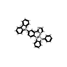 c1ccc(N2B3N(c4ccc(-n5c6ccccc6c6ccccc65)cc4-c4nccn43)c3ccccc32)cc1